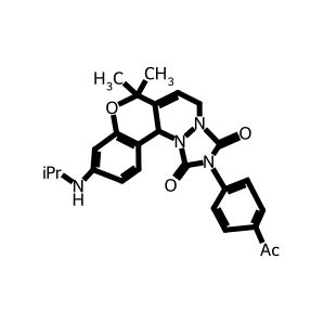 CC(=O)c1ccc(-n2c(=O)n3n(c2=O)C2C(=CC3)C(C)(C)Oc3cc(NC(C)C)ccc32)cc1